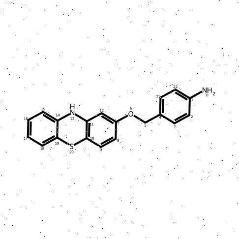 Nc1ccc(COc2ccc3c(c2)Nc2ccccc2S3)cc1